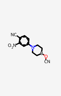 N#COB1CCN(c2ccc(C#N)c([N+](=O)[O-])c2)CC1